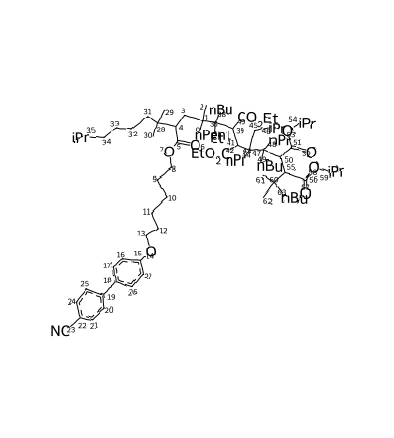 CCCCCC(C)(CC(C(=O)OCCCCCCOc1ccc(-c2ccc(C#N)cc2)cc1)C(C)(C)CCCCC(C)C)C(CC)(CCCC)C(C(=O)OCC)C(C(=O)OCC)C(CCC)(CC(C)C)C(CCC)(CCCC)C(C(=O)OC(C)C)C(C(=O)OC(C)C)C(C)(C)CCCC